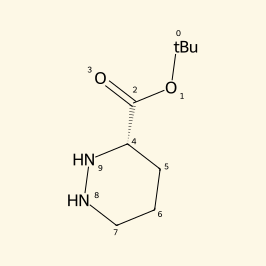 CC(C)(C)OC(=O)[C@@H]1CCCNN1